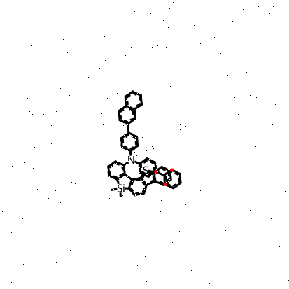 C[Si]1(C)c2cccc(N(c3ccc(-c4ccccc4)cc3)c3ccc(-c4ccc5ccccc5c4)cc3)c2-c2c1ccc1c2sc2ccccc21